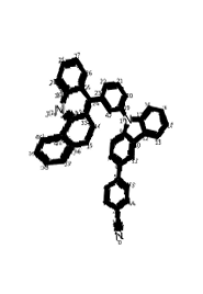 N#Cc1ccc(-c2ccc3c(c2)c2ccccc2n3-c2cccc(-c3c4ccccc4nc4c3ccc3ccccc34)c2)cc1